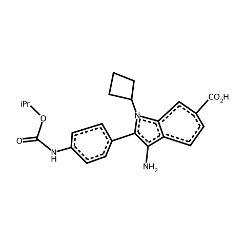 CC(C)OC(=O)Nc1ccc(-c2c(N)c3ccc(C(=O)O)cc3n2C2CCC2)cc1